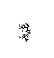 N#C[C@H](NC(=O)n1cc(-c2ccnc3[nH]c(=O)[nH]c23)cn1)C1CC1